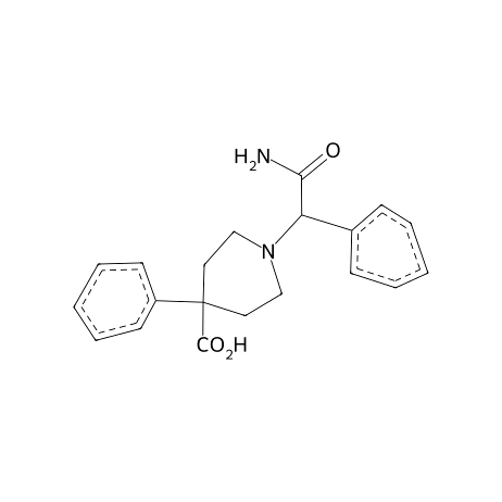 NC(=O)C(c1ccccc1)N1CCC(C(=O)O)(c2ccccc2)CC1